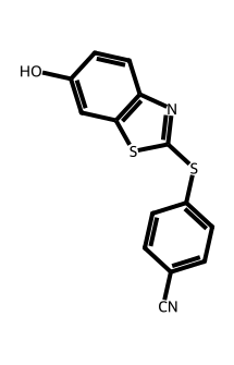 N#Cc1ccc(Sc2nc3ccc(O)cc3s2)cc1